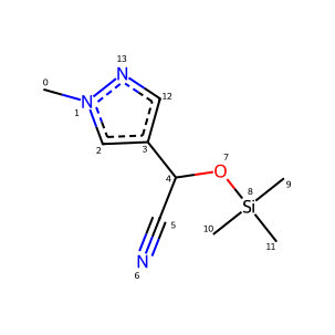 Cn1cc(C(C#N)O[Si](C)(C)C)cn1